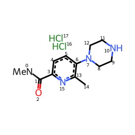 CNC(=O)c1ccc(N2CCNCC2)c(C)n1.Cl.Cl